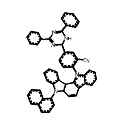 N#Cc1cc(C2N=C(c3ccccc3)N=C(c3ccccc3)N2)ccc1-n1c2c(c3ccccc31)C=CC1C2c2ccccc2N1c1cccc2ccccc12